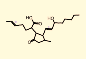 C/C=C/CCC(C(=O)O)C1C(=O)CC(C)C1/C=C/C(O)CCCCC